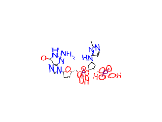 Cc1nccc(N[C@@H]2C[C@H](COP(=O)(O)O)[C@@H](OP(=O)(O)OC[C@@H]3CC[C@H](n4cnc5c(=O)[nH]c(N)nc54)O3)C2)n1